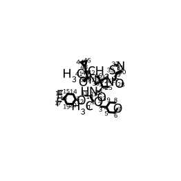 C[C@@H](OCC1CCOCC1)[C@@H](COC1CCC(F)(F)CC1)NC(=O)[C@@H]1CN(C(=O)c2cncs2)CC12CN(C(=O)C(C)(C)C1CC1)C2